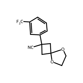 N#CC1(c2cccc(C(F)(F)F)c2)CC2(C1)OCCO2